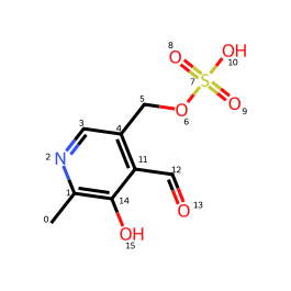 Cc1ncc(COS(=O)(=O)O)c(C=O)c1O